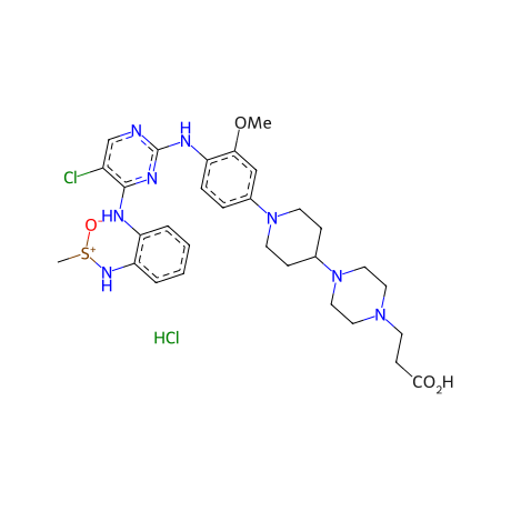 COc1cc(N2CCC(N3CCN(CCC(=O)O)CC3)CC2)ccc1Nc1ncc(Cl)c(Nc2ccccc2N[S+](C)[O-])n1.Cl